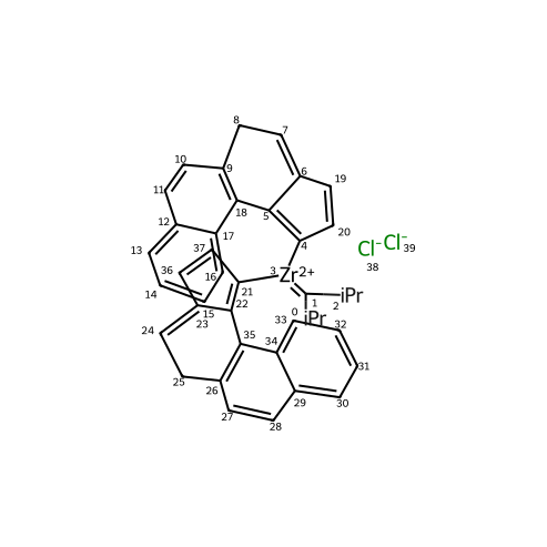 CC(C)[C](C(C)C)=[Zr+2]([C]1=C2C(=CCc3ccc4ccccc4c32)C=C1)[C]1=C2C(=CCc3ccc4ccccc4c32)C=C1.[Cl-].[Cl-]